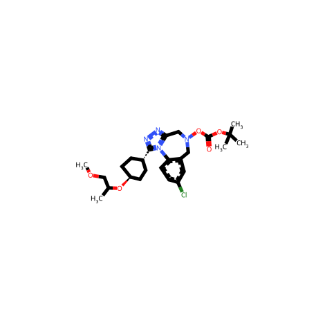 COCC(C)O[C@H]1CC[C@H](c2nnc3n2-c2ccc(Cl)cc2CN(OC(=O)OC(C)(C)C)C3)CC1